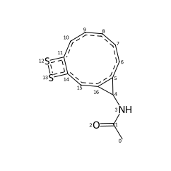 CC(=O)NC1c2cccccc3ssc3cc21